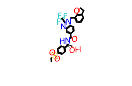 CCS(=O)(=O)c1ccc([C@H](CO)NC(=O)c2ccc3c(c2)nc(C(F)(F)F)n3Cc2cccc3c2OCC3)cc1